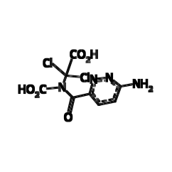 Nc1ccc(C(=O)N(C(=O)O)C(Cl)(Cl)C(=O)O)nn1